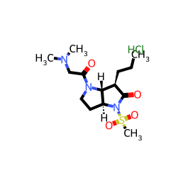 CCC[C@H]1C(=O)N(S(C)(=O)=O)[C@H]2CCN(C(=O)CN(C)C)[C@H]12.Cl